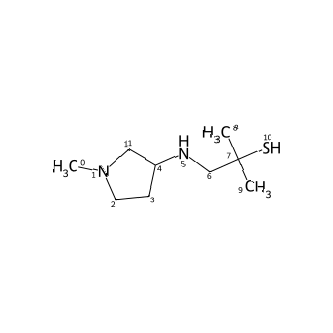 CN1CCC(NCC(C)(C)S)C1